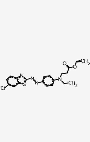 C=COC(=O)CCN(CC)c1ccc(/N=N/c2nc3ccc(Cl)cc3s2)cc1